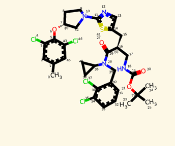 Cc1cc(Cl)c(O[C@@H]2CCN(c3ncc(C[C@@H](CNC(=O)OC(C)(C)C)C(=O)N(Cc4cccc(Cl)c4Cl)C4CC4)s3)C2)c(Cl)c1